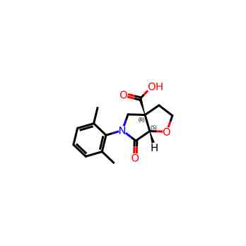 Cc1cccc(C)c1N1C[C@]2(C(=O)O)CCO[C@@H]2C1=O